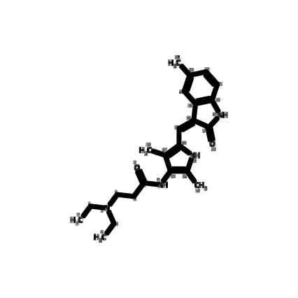 CCN(CC)CCC(=O)Nc1c(C)[nH]c(/C=C2\C(=O)Nc3ccc(C)cc32)c1C